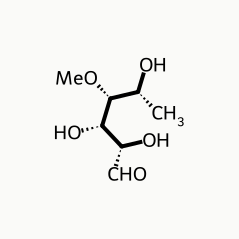 CO[C@@H]([C@@H](O)[C@H](O)C=O)[C@@H](C)O